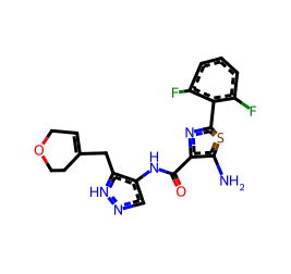 Nc1sc(-c2c(F)cccc2F)nc1C(=O)Nc1cn[nH]c1CC1=CCOCC1